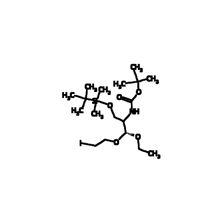 CCO[C@H](OCCI)C(CO[Si](C)(C)C(C)(C)C)NC(=O)OC(C)(C)C